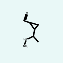 CC(BN)C1CC1C=O